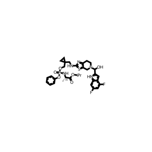 CC(C)OC(=O)[C@H](C)NP(=O)(OCC1(CNc2nc3c(s2)CN(C(O)c2cc4c(F)cc(F)cc4[nH]2)CC3)CC1)Oc1ccccc1